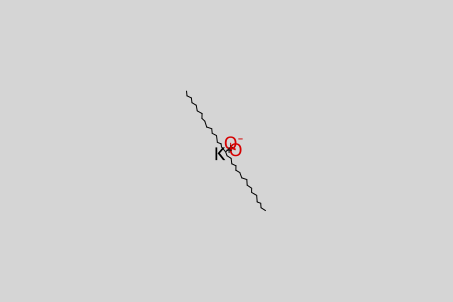 CCCCCCCCCCCCCCCCC(CCCCCCCCCCCCCCCC)C(=O)[O-].[K+]